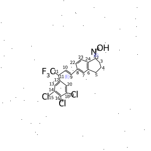 O/N=C1\CCCc2cc(/C=C/C(c3cc(Cl)c(Cl)c(Cl)c3)C(F)(F)F)ccc21